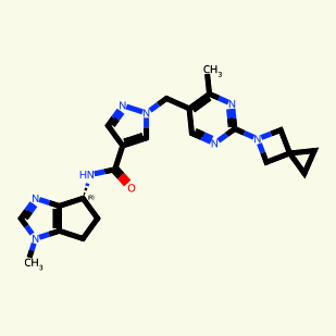 Cc1nc(N2CC3(CC3)C2)ncc1Cn1cc(C(=O)N[C@@H]2CCc3c2ncn3C)cn1